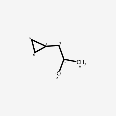 CC([O])CC1CC1